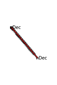 CCCCCCCCCCCCCCCCCCCCCCCCCCCCCCCCCCCCCCCCCCCCCCCCCCCCCCCCCCCCCCCCCCCCCCCCCCCCCCCCCCCCCCCCCCCCCCCCCCCCCCCCCCC